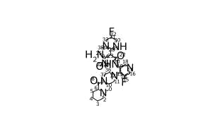 CN1CCCCC1C(=O)N1CCN(c2c(F)cncc2NC(=O)C(C(N)N=O)C2NCC(F)CN2C)CC1